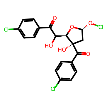 O=C(c1ccc(Cl)cc1)C(O)[C@H]1O[C@H](OCl)C[C@@]1(O)C(=O)c1ccc(Cl)cc1